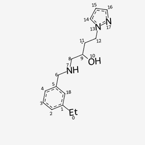 CCc1cccc(CNCC(O)[CH]Cn2cccn2)c1